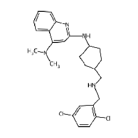 CN(C)c1cc(NC2CCC(CNCc3cc(Cl)ccc3Cl)CC2)nc2ccccc12